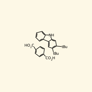 CC(C)(C)c1cc2[nH]c3ccccc3c2cc1C(C)(C)C.O=C(O)c1ccc(C(=O)O)cc1